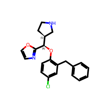 Clc1ccc(O[C@@H](c2ncco2)[C@H]2CCNC2)c(Cc2ccccc2)c1